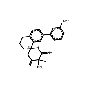 COc1cccc(-c2ccc3c(c2)[C@]2(CCC3)CC(=O)C(C)(N)C(=N)N2)c1